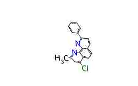 Cc1cc(Cl)c2ccc3ccc(-c4ccccc4)nc3c2n1